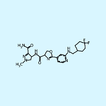 CN1CC(NC(=O)C2COC(c3ccnc(NCC4CCC(F)(F)CC4)c3)=N2)C(C(N)=O)=N1